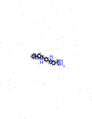 N=C(N)c1ccc2nc(-c3ccc(-c4cc5ccc(C6=NCCCN6)cc5[nH]4)cc3)[nH]c2c1